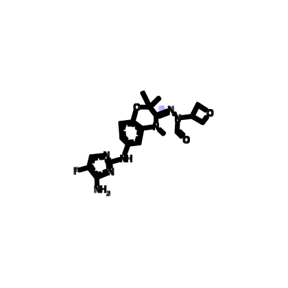 CN1/C(=N\N(C=O)C2COC2)C(C)(C)Oc2ccc(Nc3ncc(F)c(N)n3)cc21